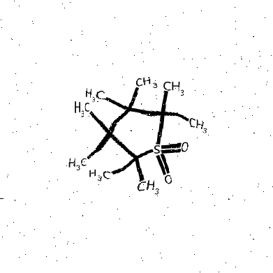 CC1(C)C(C)(C)C(C)(C)S(=O)(=O)C1(C)C